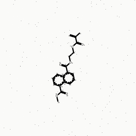 C=C(C)C(=O)OCCOC(=O)c1cccc2c(C(=O)OC)cccc12